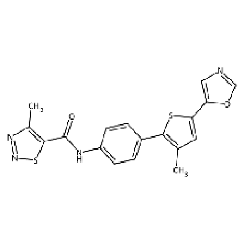 Cc1cc(-c2cnco2)sc1-c1ccc(NC(=O)c2snnc2C)cc1